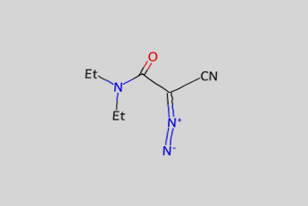 CCN(CC)C(=O)C(C#N)=[N+]=[N-]